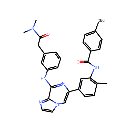 Cc1ccc(-c2cn3ccnc3c(Nc3cccc(CC(=O)N(C)C)c3)n2)cc1NC(=O)c1ccc(C(C)(C)C)cc1